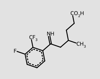 CC(CCC(=O)O)CC(=N)c1cccc(F)c1C(F)(F)F